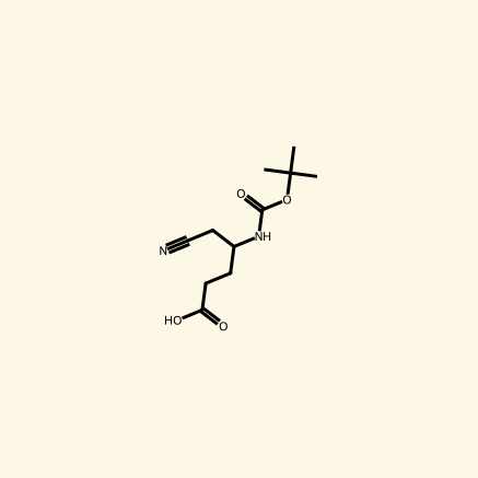 CC(C)(C)OC(=O)NC(CC#N)CCC(=O)O